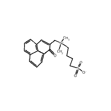 C[N+](C)(CCCCS(=O)(=O)[O-])CC1=Cc2cccc3cccc(c23)C1=O